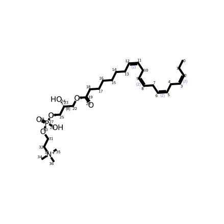 CC/C=C\C/C=C\C/C=C\C/C=C\CCCCCCC(=O)OC[C@@H](O)COP(=O)(O)OCC[N+](C)(C)C